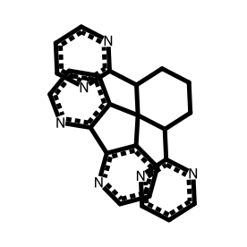 c1cnc(C2CCCC(c3ncccn3)C23c2cccnc2-c2ncccc23)nc1